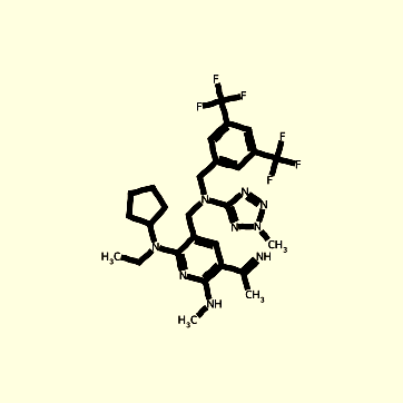 CCN(c1nc(NC)c(C(C)=N)cc1CN(Cc1cc(C(F)(F)F)cc(C(F)(F)F)c1)c1nnn(C)n1)C1CCCC1